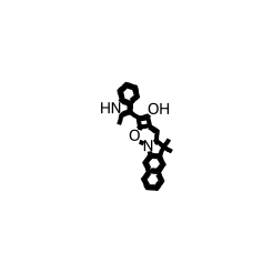 Cc1[nH]c2ccccc2c1C1=C(O)/C(=C/C2=[N+](C)c3cc4ccccc4cc3C2(C)C)C1=O